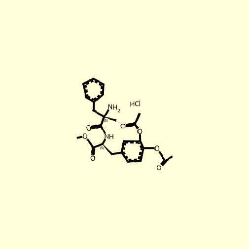 COC(=O)[C@H](Cc1ccc(OC(C)=O)c(OC(C)=O)c1)NC(=O)[C@@](C)(N)Cc1ccccc1.Cl